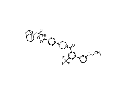 CCOc1cccc(-c2cc(C(=O)N3CCN(c4ccc(C(=O)NS(=O)(=O)CC56CC7CC(CC(C7)C5)C6)cc4)CC3)cc(C(F)(F)F)c2)c1